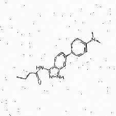 CCCC(=O)Nc1n[nH]c2cc(-c3ccc(N(C)C)cc3)ccc12